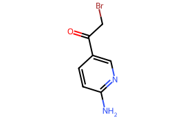 Nc1ccc(C(=O)CBr)cn1